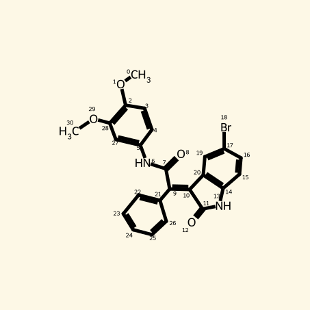 COc1ccc(NC(=O)/C(=C2/C(=O)Nc3ccc(Br)cc32)c2ccccc2)cc1OC